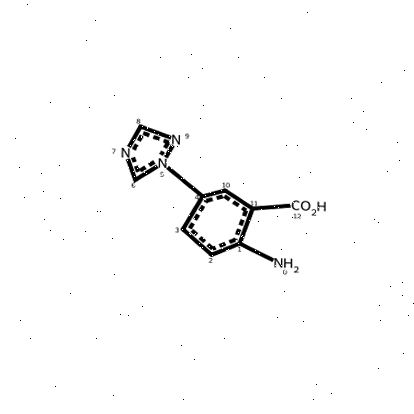 Nc1ccc(-n2cncn2)cc1C(=O)O